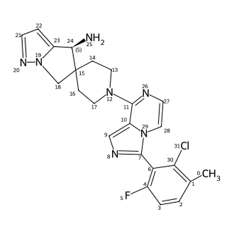 Cc1ccc(F)c(-c2ncc3c(N4CCC5(CC4)Cn4nccc4[C@H]5N)nccn23)c1Cl